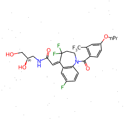 CCCOc1ccc(C(=O)N2CCC(F)(F)C(=CC(=O)NC[C@@H](O)CO)c3cc(F)ccc32)c(C(F)(F)F)c1